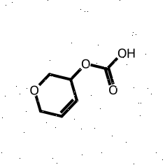 O=C(O)OC1C=CCOC1